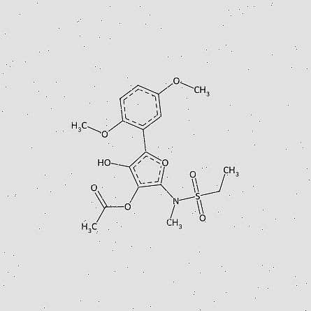 CCS(=O)(=O)N(C)c1oc(-c2cc(OC)ccc2OC)c(O)c1OC(C)=O